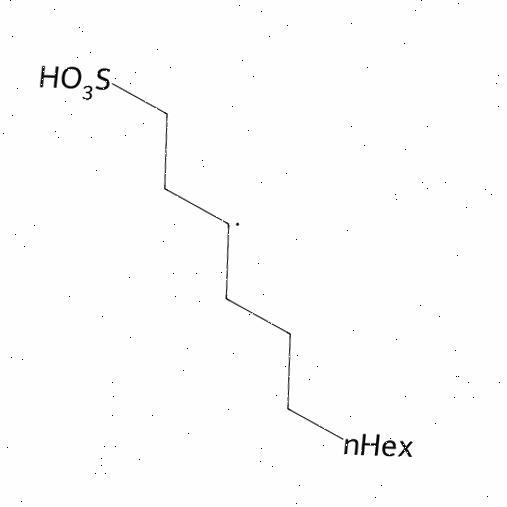 CCCCCCCCC[CH]CCS(=O)(=O)O